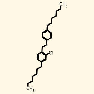 CCCCCCCc1ccc(CCc2ccc(CCCCCCC)cc2Cl)cc1